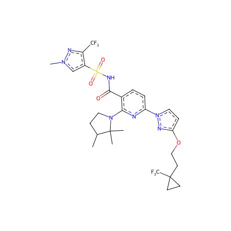 CC1CCN(c2nc(-n3ccc(OCCC4(C(F)(F)F)CC4)n3)ccc2C(=O)NS(=O)(=O)c2cn(C)nc2C(F)(F)F)C1(C)C